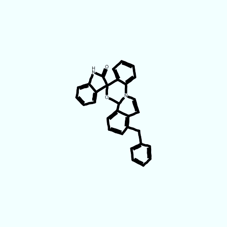 O=C1Nc2ccccc2C12OC1c3cccc(Cc4ccccc4)c3C=CN1c1ccccc12